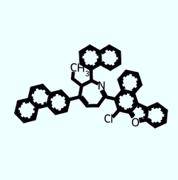 CCC1C(c2ccc3c(ccc4ccccc43)c2)=CCC(c2c(Cl)c3oc4ccccc4c3c3ccccc23)=NC1c1cccc2ccccc12